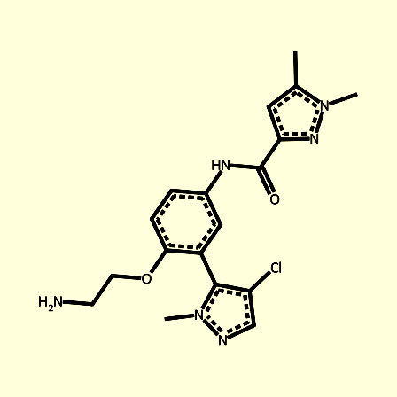 Cc1cc(C(=O)Nc2ccc(OCCN)c(-c3c(Cl)cnn3C)c2)nn1C